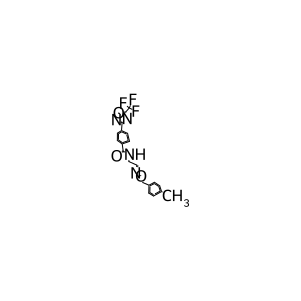 Cc1ccc(CON=CCNC(=O)c2ccc(-c3noc(C(F)(F)F)n3)cc2)cc1